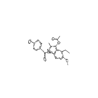 CCc1c(OC)ccc2c1c(OC(C)=O)c(C)n2C(=O)c1ccc(Cl)cc1